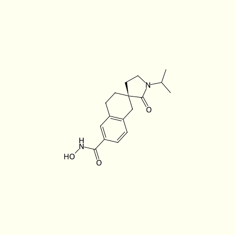 CC(C)N1CC[C@@]2(CCc3cc(C(=O)NO)ccc3C2)C1=O